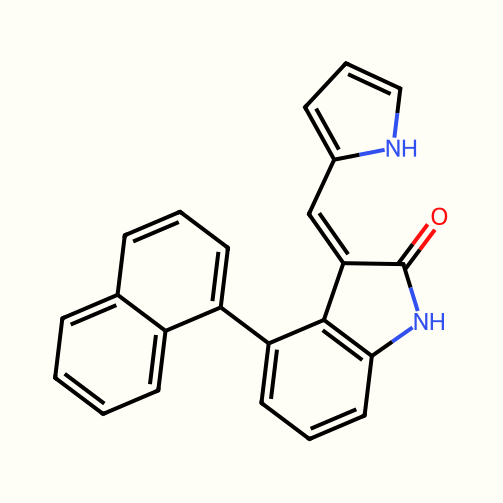 O=C1Nc2cccc(-c3cccc4ccccc34)c2C1=Cc1ccc[nH]1